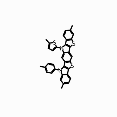 Cc1ccc(-n2c3cc(C)ccc3c3sc4cc5c6sc7cc(C)ccc7c6n(-c6ccc(C)s6)c5cc4c32)cc1